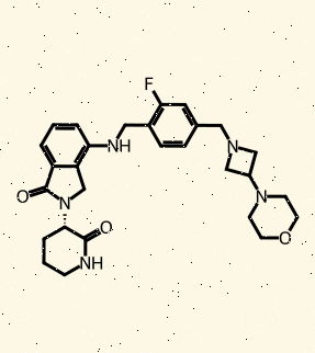 O=C1NCCC[C@@H]1N1Cc2c(NCc3ccc(CN4CC(N5CCOCC5)C4)cc3F)cccc2C1=O